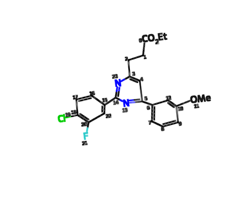 CCOC(=O)CCc1cc(-c2cccc(OC)c2)nc(-c2ccc(Cl)c(F)c2)n1